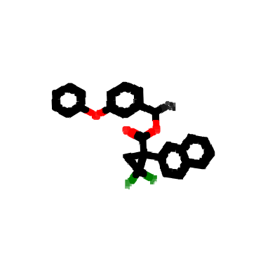 N#CC(OC(=O)C1(c2ccc3ccccc3c2)CC1(F)F)c1cccc(Oc2ccccc2)c1